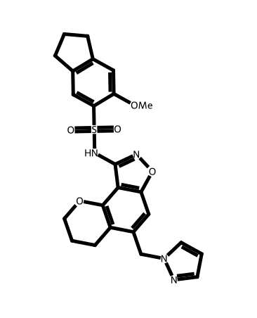 COc1cc2c(cc1S(=O)(=O)Nc1noc3cc(Cn4cccn4)c4c(c13)OCCC4)CCC2